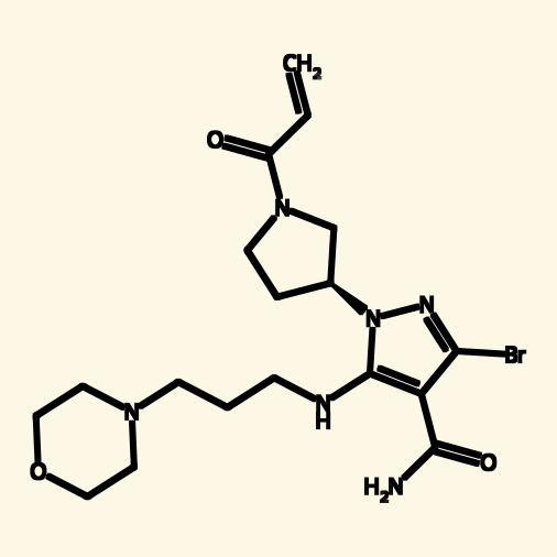 C=CC(=O)N1CC[C@H](n2nc(Br)c(C(N)=O)c2NCCCN2CCOCC2)C1